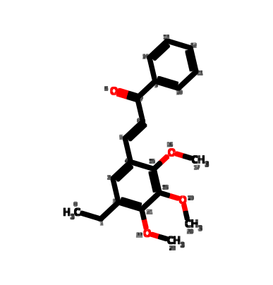 CCc1cc(C=CC(=O)c2ccccc2)c(OC)c(OC)c1OC